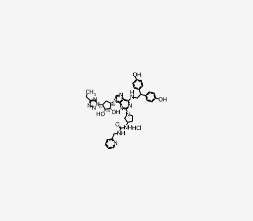 CCc1nnn([C@H]2C[C@@H](n3cnc4c(NCC(c5ccc(O)cc5)c5ccc(O)cc5)nc(N5CCC(NC(=O)NCc6ccccn6)C5)nc43)[C@H](O)[C@@H]2O)n1.Cl